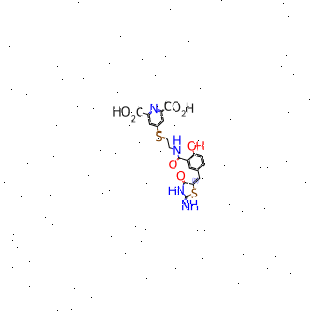 N=C1NC(=O)/C(=C\c2ccc(O)c(C(=O)NCCSc3cc(C(=O)O)nc(C(=O)O)c3)c2)S1